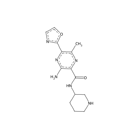 Cc1nc(C(=O)NC2CCCNC2)c(N)nc1-c1ncco1